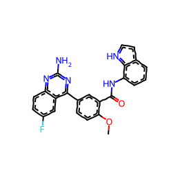 COc1ccc(-c2nc(N)nc3ccc(F)cc23)cc1C(=O)Nc1cccc2cc[nH]c12